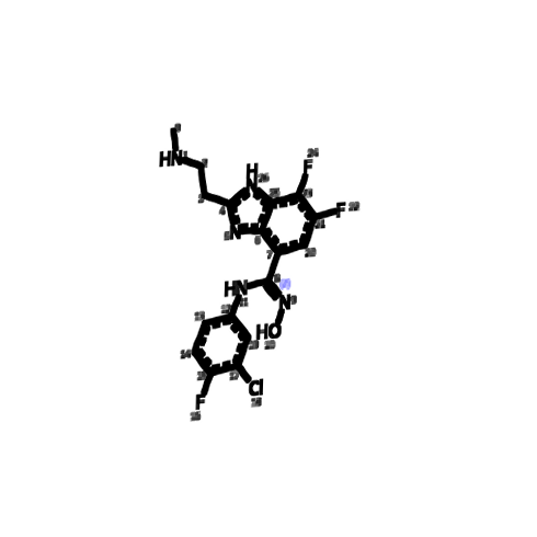 CNCCc1nc2c(/C(=N/O)Nc3ccc(F)c(Cl)c3)cc(F)c(F)c2[nH]1